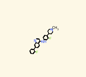 CN1CCC(c2ccc(Nc3ccnc4cc(-c5ccccc5F)ccc34)cc2F)CC1